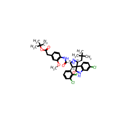 COc1cc(CC(=O)OC(C)(C)C)ccc1NC(=O)[C@@H]1N[C@@H](CC(C)(C)C)C2(C(=O)Nc3cc(Cl)ccc32)[C@H]1c1cccc(Cl)c1F